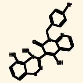 O=c1c(C2=NSc3cccc(O)c3N2O)c(O)c2cccnc2n1Cc1ccc(Br)cc1